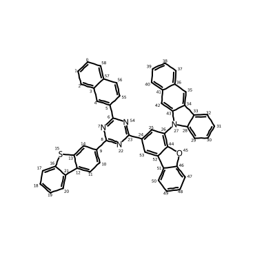 c1ccc2cc(-c3nc(-c4ccc5c(c4)sc4ccccc45)nc(-c4cc(-n5c6ccccc6c6cc7ccccc7cc65)c5oc6ccccc6c5c4)n3)ccc2c1